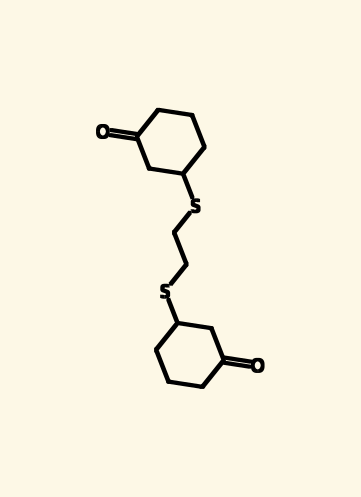 O=C1CCCC(SCCSC2CCCC(=O)C2)C1